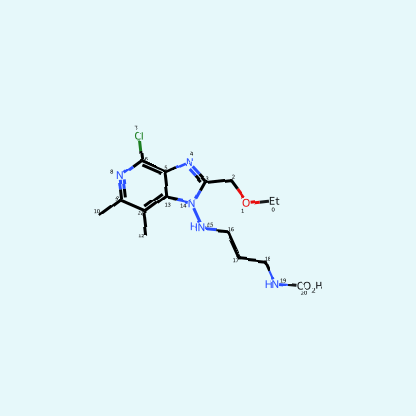 CCOCc1nc2c(Cl)nc(C)c(C)c2n1NCCCNC(=O)O